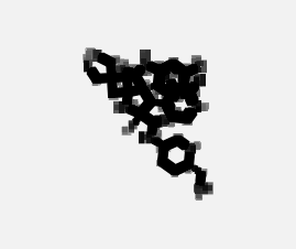 O=C(N[C@@H]1CC[C@@H](CO)OC1)[C@@]1(F)NC2(CC(CF)(CF)C2)[C@@]2(C(=O)Nc3cc(Cl)ccc32)[C@H]1c1ccnc(Cl)c1F